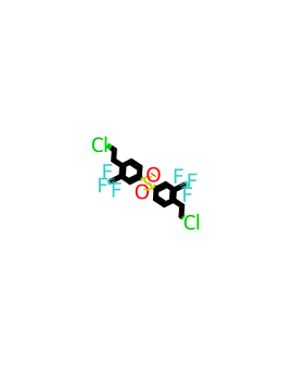 O=S(=O)(c1ccc(CCCl)c(C(F)(F)F)c1)c1ccc(CCCl)c(C(F)(F)F)c1